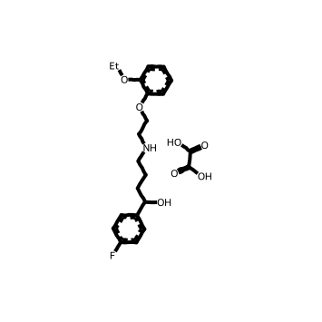 CCOc1ccccc1OCCNCCCC(O)c1ccc(F)cc1.O=C(O)C(=O)O